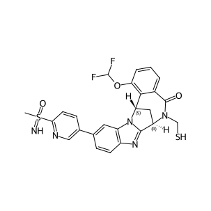 CS(=N)(=O)c1ccc(-c2ccc3nc4n(c3c2)[C@H]2C[C@H]4N(CS)C(=O)c3cccc(OC(F)F)c32)cn1